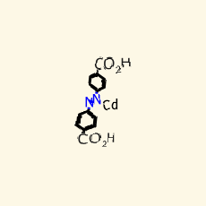 O=C(O)c1ccc(/N=N/c2ccc(C(=O)O)cc2)cc1.[Cd]